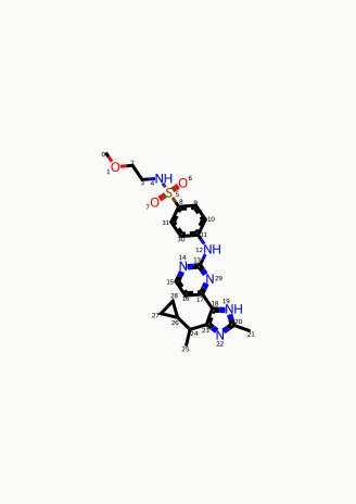 COCCNS(=O)(=O)c1ccc(Nc2nccc(-c3[nH]c(C)nc3C(C)C3CC3)n2)cc1